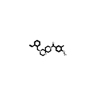 C=Cc1ccccc1CN1CCOC2(CCN(C(=O)c3ccc(OC(C)C)c(C)c3)CC2)C1